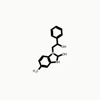 Cc1ccc2c(c1)NC(O)N2CC(O)c1ccccc1